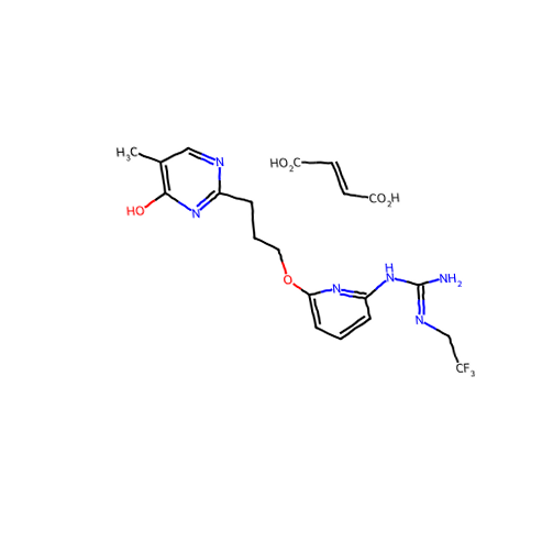 Cc1cnc(CCCOc2cccc(NC(N)=NCC(F)(F)F)n2)nc1O.O=C(O)C=CC(=O)O